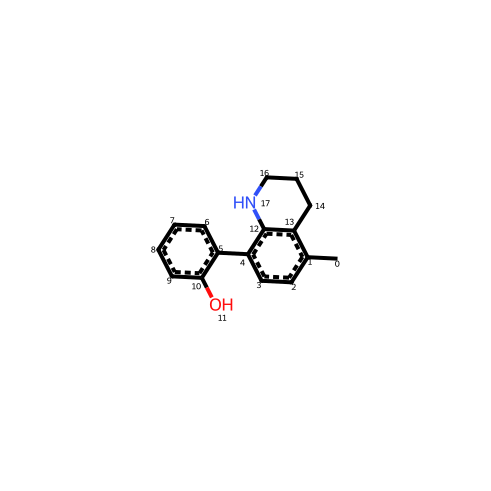 Cc1ccc(-c2ccccc2O)c2c1CCCN2